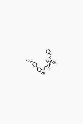 CC(C)(COCc1ccccc1)NCC(O)COc1cc(-c2ccc(C(=O)O)cc2)ccc1C#N